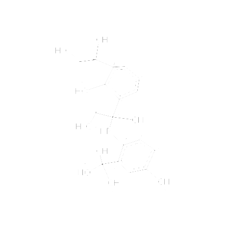 CCC(C)c1cccc(C(C)(CC)Pc2ccc(C)cc2C(C)(C)O)c1O